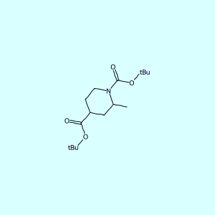 CC1CC(C(=O)OC(C)(C)C)CCN1C(=O)OC(C)(C)C